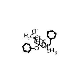 C=CCC(C[N+](C)(C)Cc1ccccc1)(OCC)Oc1ccccc1.[Cl-]